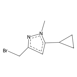 Cn1nc(CBr)cc1C1CC1